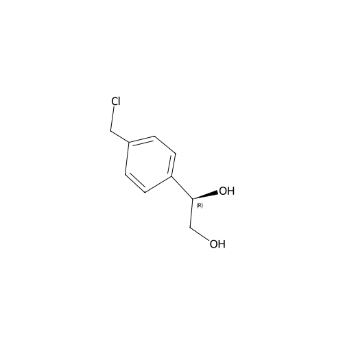 OC[C@H](O)c1ccc(CCl)cc1